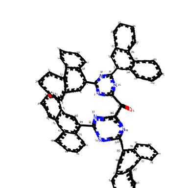 O=C(c1nc(-c2cc3ccccc3c3ccccc23)nc(-c2cc3ccccc3c3ccccc23)n1)c1nc(-c2cc3ccccc3c3ccccc23)nc(-c2cc3ccccc3c3ccccc23)n1